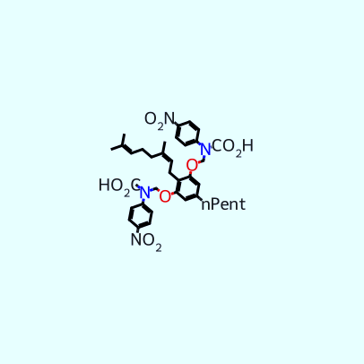 CCCCCc1cc(OCN(C(=O)O)c2ccc([N+](=O)[O-])cc2)c(CC=C(C)CCC=C(C)C)c(OCN(C(=O)O)c2ccc([N+](=O)[O-])cc2)c1